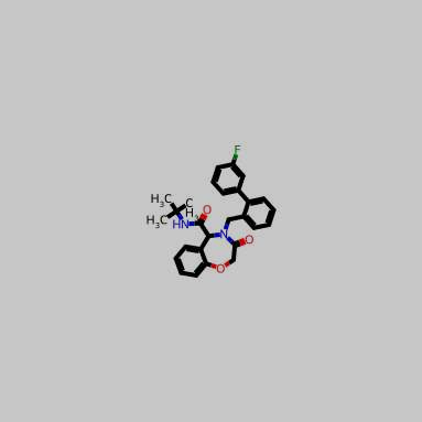 CC(C)(C)NC(=O)C1c2ccccc2OCC(=O)N1Cc1ccccc1-c1cccc(F)c1